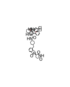 O=C1CCC(N2Cc3c(CC4CCC(NC(=O)[C@@H]5NC6(CCCCC6)[C@@]6(C(=O)Nc7cc(Cl)ccc76)[C@H]5c5cccc(Cl)c5F)CC4)cccc3C2=O)C(=O)N1